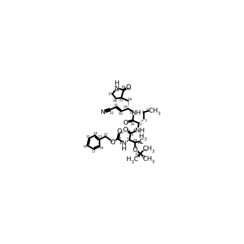 CCC[C@H](NC(=O)[C@@H](NC(=O)OCc1ccccc1)C(C)OC(C)(C)C)C(=O)N[C@H](/C=C/C#N)CC1CCNC1=O